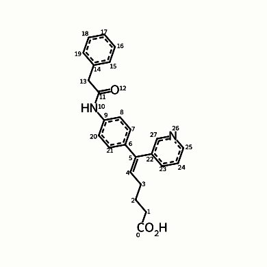 O=C(O)CCC/C=C(/c1ccc(NC(=O)Cc2ccccc2)cc1)c1cccnc1